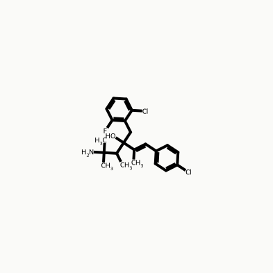 CC(=Cc1ccc(Cl)cc1)C(O)(Cc1c(F)cccc1Cl)C(C)C(C)(C)N